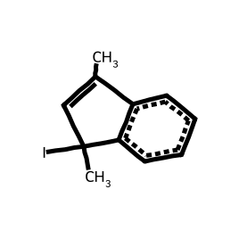 CC1=CC(C)(I)c2ccccc21